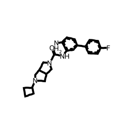 Nc1ccc(-c2ccc(F)cc2)cc1NC(=O)N1CC2CN(C3CCC3)CC2C1